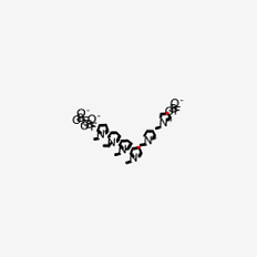 C=C[n+]1ccccc1.C=C[n+]1ccccc1.C=C[n+]1ccccc1.C=C[n+]1ccccc1.C=C[n+]1ccccc1.C=C[n+]1ccccc1.[O-]B([O-])F.[O-]B([O-])F.[O-]B([O-])F